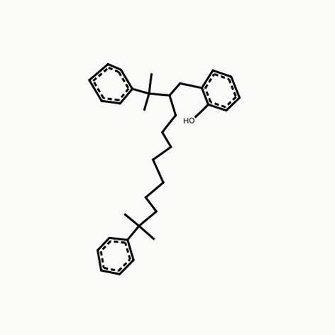 CC(C)(CCCCCCCC(Cc1ccccc1O)C(C)(C)c1ccccc1)c1ccccc1